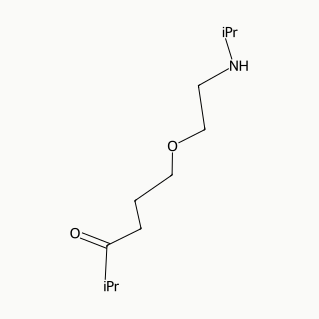 CC(C)NCCOCCCC(=O)C(C)C